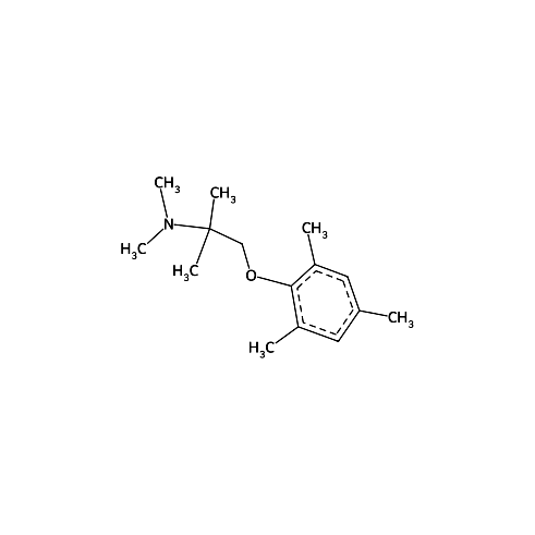 Cc1cc(C)c(OCC(C)(C)N(C)C)c(C)c1